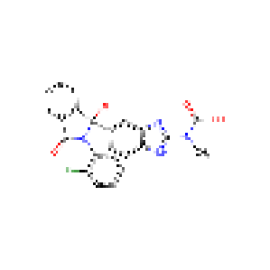 CN(C(=O)O)c1nc2cc(C3(O)c4ccccc4C(=O)N3c3ccccc3F)ccc2[nH]1